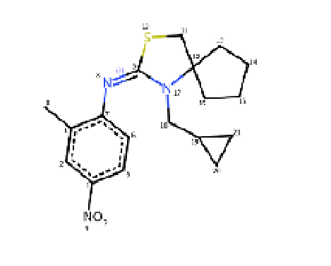 Cc1cc([N+](=O)[O-])ccc1/N=C1/SCC2(CCCC2)N1CC1CC1